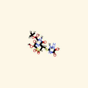 CO[C@H]1C(=O)N2C(C(=O)N(C)CC(=O)OC(C)(C)C)=C(CSc3nc(=O)c(=O)[nH]n3C)CS(=O)(=O)C12